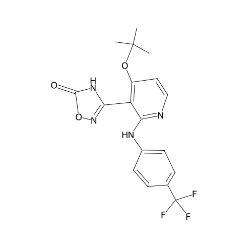 CC(C)(C)Oc1ccnc(Nc2ccc(C(F)(F)F)cc2)c1-c1noc(=O)[nH]1